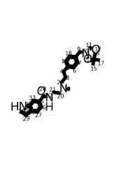 CN(CCCc1ccc(CN(C=O)OC(C)(C)C)cc1)CCNC(=O)c1ccc2cc[nH]c2c1